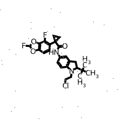 CC(C)(C)C1Cc2cc(NC(=O)C3(c4ccc5c(c4F)OC(F)O5)CC3)ccc2N1CCCl